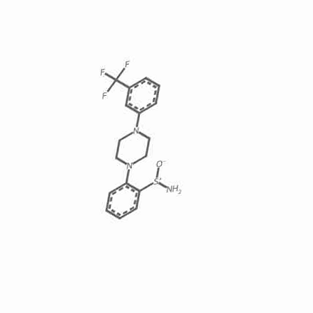 N[S+]([O-])c1ccccc1N1CCN(c2cccc(C(F)(F)F)c2)CC1